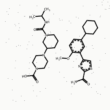 CC(C)NC(=O)N1CCCC(N2CCN(C(=O)O)CC2)C1.COc1ccc(C2CCCCC2)cc1-c1csc(C(N)=O)n1